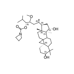 COC(C[C@@H](C)[C@H]1C[C@H](O)[C@@]2(C)C3CCC4C(C)(C)[C@@H](O)CC[C@@]45CC35CC[C@]12C)[C@H](OC(=O)N1CCC1)C(C)C